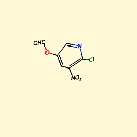 O=COc1cnc(Cl)c([N+](=O)[O-])c1